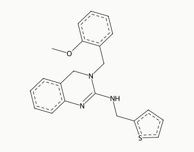 COc1ccccc1CN1Cc2ccccc2N=C1NCc1cccs1